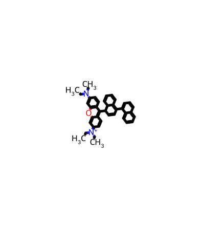 CCN(CC)c1ccc2c(C3C=CC(c4cccc5ccccc45)=C4C=CC=CC43)c3ccc(=[N+](CC)CC)cc-3oc2c1